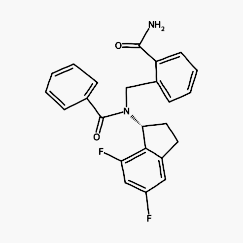 NC(=O)c1ccccc1CN(C(=O)c1ccccc1)[C@@H]1CCc2cc(F)cc(F)c21